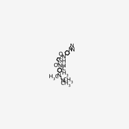 Cc1cc(N(C)CCN(C)C)ccc1NC(=O)c1ccc(C(=O)Nc2ccc(-n3cncn3)cc2)s1